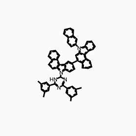 Cc1cc(C)cc(C2=NC(n3c4ccc(-c5cc6c(c7ccccc57)c5ccccc5n6-c5ccc6ccccc6c5)cc4c4c5ccccc5ccc43)NC(c3cc(C)cc(C)c3)=N2)c1